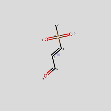 CS(=O)(=O)/C=C/C=O